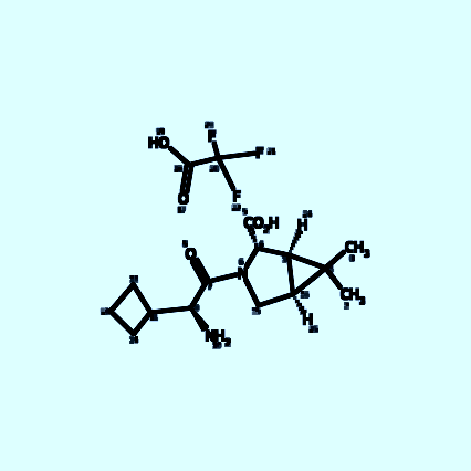 CC1(C)[C@@H]2[C@@H](C(=O)O)N(C(=O)[C@@H](N)C3CCC3)C[C@@H]21.O=C(O)C(F)(F)F